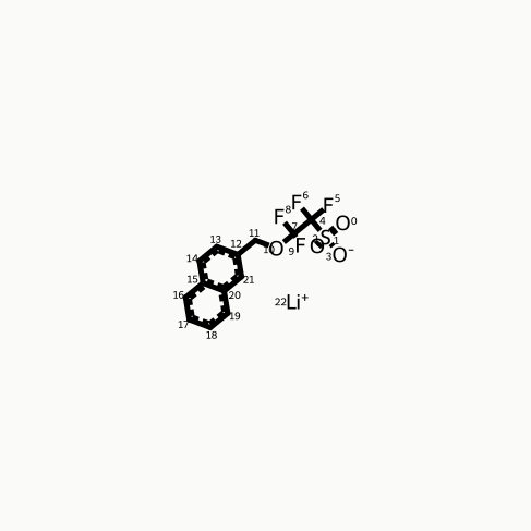 O=S(=O)([O-])C(F)(F)C(F)(F)OCc1ccc2ccccc2c1.[Li+]